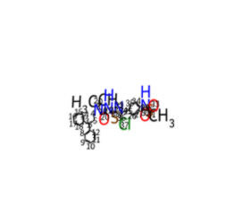 CC(C)N(CCC(c1ccccc1)c1ccccc1)C(=O)Nc1nc(-c2ccc(NS(C)(=O)=O)cc2)c(Cl)s1